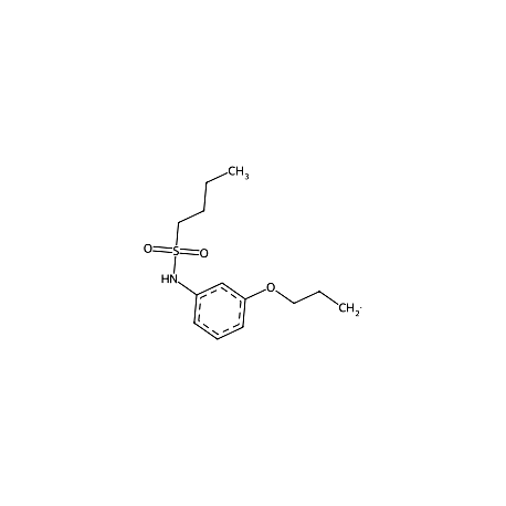 [CH2]CCOc1cccc(NS(=O)(=O)CCCC)c1